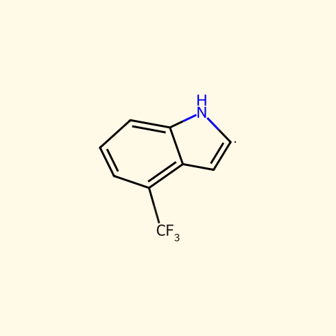 FC(F)(F)c1cccc2[nH][c]cc12